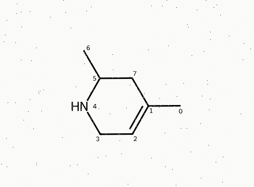 CC1=CCNC(C)C1